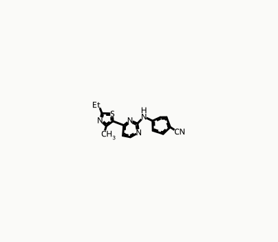 CCc1nc(C)c(-c2ccnc(Nc3ccc(C#N)cc3)n2)s1